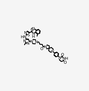 Cc1nc(Nc2ncc(C(=O)Nc3c(C)cccc3Cl)s2)cc(N2CCN(CCCC(=O)N3CCC4(CCN(c5ccc(N6CCC(=O)NC6=O)cc5)CC4)C3)CC2)n1